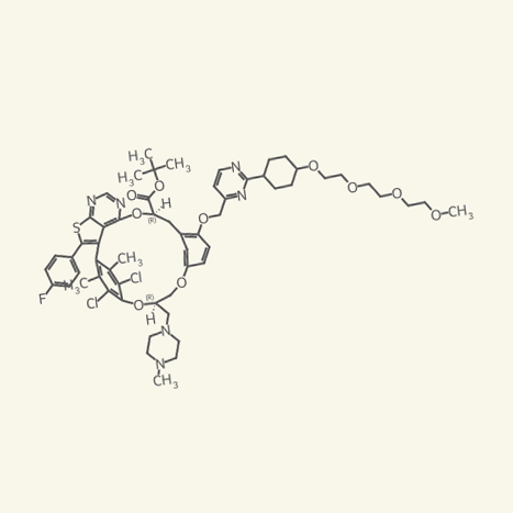 COCCOCCOCCOC1CCC(c2nccc(COc3ccc4cc3C[C@H](C(=O)OC(C)(C)C)Oc3ncnc5sc(-c6ccc(F)cc6)c(c35)-c3c(C)c(Cl)c(c(Cl)c3C)O[C@H](CN3CCN(C)CC3)CO4)n2)CC1